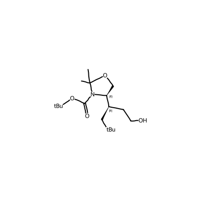 CC(C)(C)C[C@H](CCO)[C@@H]1COC(C)(C)N1C(=O)OC(C)(C)C